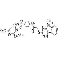 COc1cc(NS(=O)(=O)c2ccc(NC(=O)CSc3nnc4c5ccccc5n(C)c4n3)cc2)nc(OC)n1